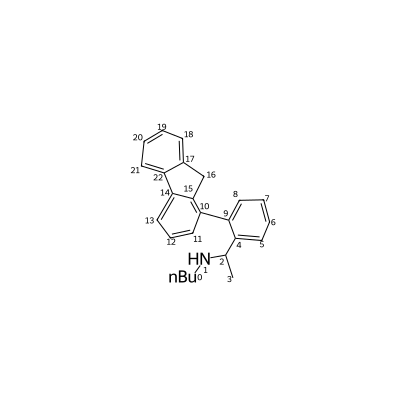 CCCCNC(C)c1ccccc1-c1cccc2c1Cc1ccccc1-2